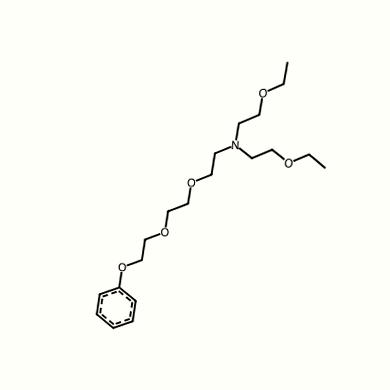 CCOCCN(CCOCC)CCOCCOCCOc1ccccc1